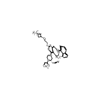 C=CC(=O)N1CCN(c2nc(OCCOC3CN(C)C3)nc3c2CCN(c2cccc4cccc(C)c24)C3)C[C@@H]1CC#N